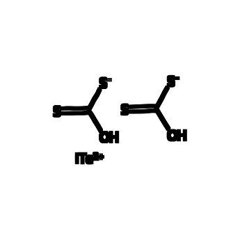 OC(=S)[S-].OC(=S)[S-].[Te+2]